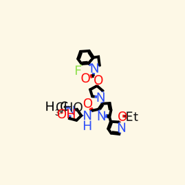 CCOc1ncccc1-c1ccc(N2CCC(OC(=O)N3CCc4cccc(F)c43)C2)c(C(=O)N[C@@H]2CCN(C)C2)n1.O=CO